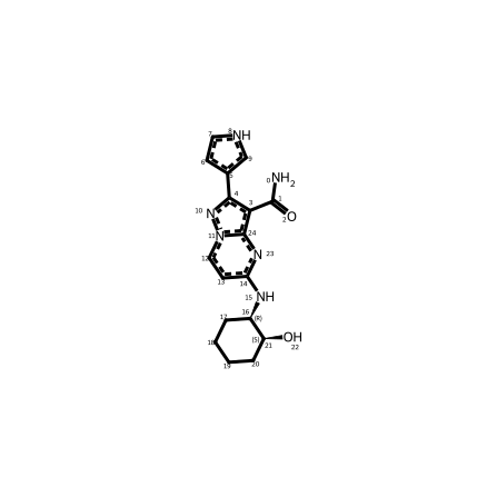 NC(=O)c1c(-c2cc[nH]c2)nn2ccc(N[C@@H]3CCCC[C@@H]3O)nc12